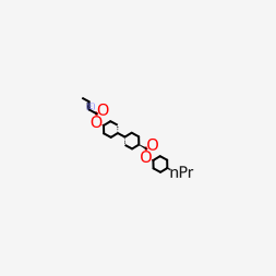 C/C=C/C(=O)O[C@H]1CC[C@H]([C@H]2CC[C@H](C(=O)O[C@H]3CC[C@H](CCC)CC3)CC2)CC1